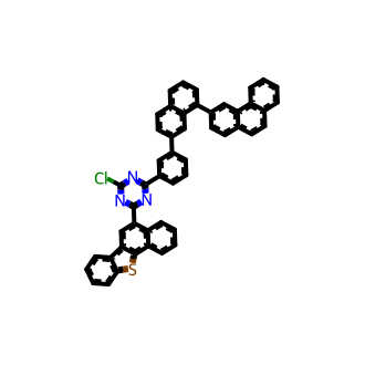 Clc1nc(-c2cccc(-c3ccc4cccc(-c5ccc6ccc7ccccc7c6c5)c4c3)c2)nc(-c2cc3c4ccccc4sc3c3ccccc23)n1